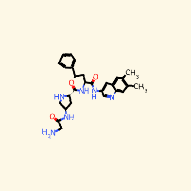 Cc1cc2cc(NC(=O)C(CCc3ccccc3)NC(=O)[C@@H]3C[C@@H](NC(=O)CN)CN3)cnc2cc1C